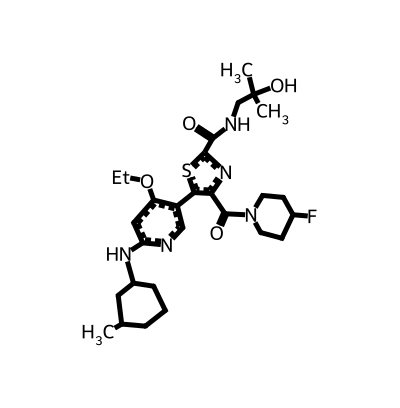 CCOc1cc(NC2CCCC(C)C2)ncc1-c1sc(C(=O)NCC(C)(C)O)nc1C(=O)N1CCC(F)CC1